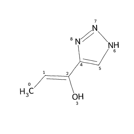 C/C=C(\O)c1c[nH]nn1